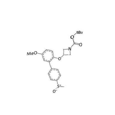 COc1ccc(OC2CN(C(=O)OC(C)(C)C)C2)c(-c2ccc([S+](C)[O-])cc2)c1